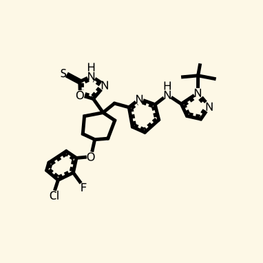 CC(C)(C)n1nccc1Nc1cccc(CC2(c3n[nH]c(=S)o3)CCC(Oc3cccc(Cl)c3F)CC2)n1